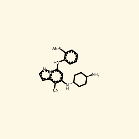 CSc1ccccc1Nc1cc(N[C@H]2CC[C@H](N)CC2)c(C#N)c2ccnn12